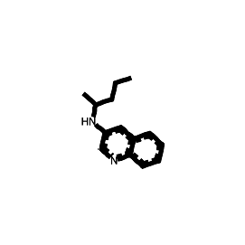 CCCC(C)Nc1[c]nc2ccccc2c1